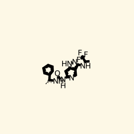 CC(Nc1n[nH]c2cc(NC(=O)N[C@H](C)c3ccccc3)ncc12)C(F)(F)F